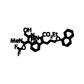 CCOC(=O)c1[nH]c2c(/C(C(=N)CO)=C(/NC)OC(F)F)cccc2c1CCCOc1cccc2ccccc12